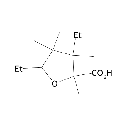 CCC1OC(C)(C(=O)O)C(C)(CC)C1(C)C